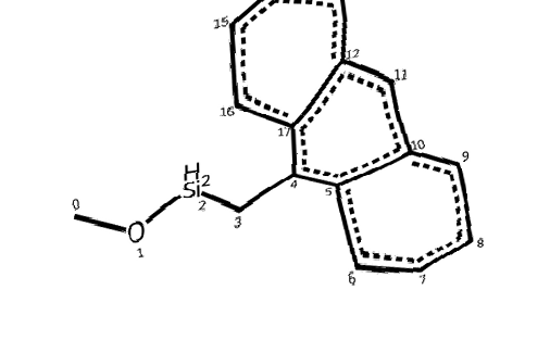 CO[SiH2]Cc1c2ccccc2cc2ccccc12